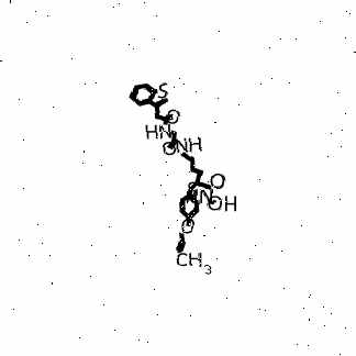 CC#CCOc1ccc(SC(CCCCNC(=O)CNC(=O)Cc2csc3ccccc23)C(=O)NO)cc1